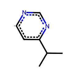 CC(C)c1c[c]ncn1